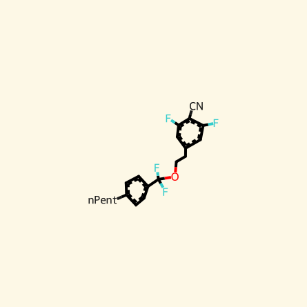 CCCCCc1ccc(C(F)(F)OCCc2cc(F)c(C#N)c(F)c2)cc1